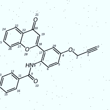 C#CCOc1ccc(NC(=O)c2ccccc2)c(-c2cc(=O)c3ccccc3o2)c1